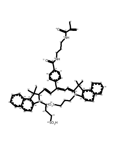 C=C(C)C(=O)NCCCNC(=O)c1ccc(C(=C\C=C2/N(CCCS(=O)(=O)O)c3ccc4ccccc4c3C2(C)C)/C=C/C2N(CCCS(=O)(=O)O)c3ccc4ccccc4c3C2(C)C)cc1